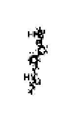 CCCCC(=O)NCCCc1cccc(-c2cncc(OC[C@@H]3CCN3)c2)c1